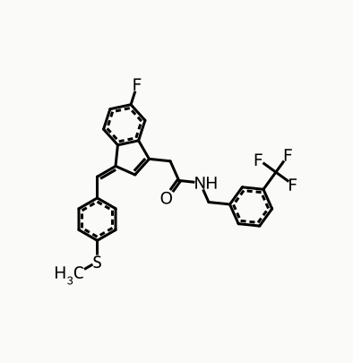 CSc1ccc(/C=C2\C=C(CC(=O)NCc3cccc(C(F)(F)F)c3)c3cc(F)ccc32)cc1